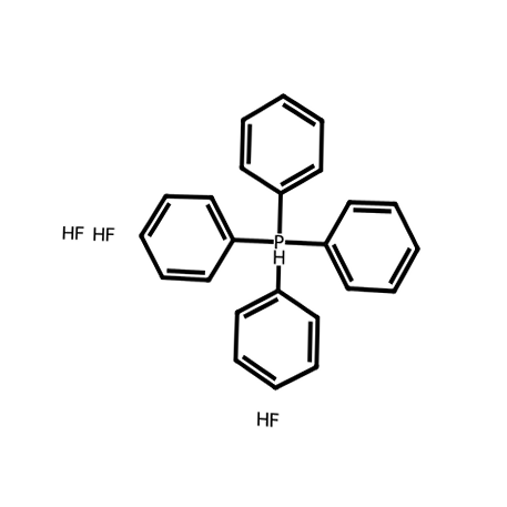 F.F.F.c1ccc([PH](c2ccccc2)(c2ccccc2)c2ccccc2)cc1